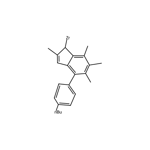 CCCCc1ccc(-c2c(C)c(C)c(C)c3c2C=C(C)[CH]3[Zr])cc1